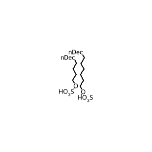 CCCCCCCCCCCCCCCCOS(=O)(=O)O.CCCCCCCCCCCCCCOS(=O)(=O)O